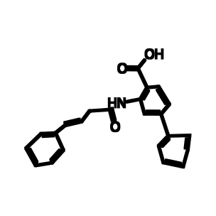 O=C(CC=Cc1ccccc1)Nc1cc(-c2ccccc2)ccc1C(=O)O